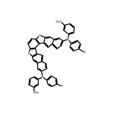 COc1cccc(N(c2ccc(C(C)C)cc2)c2ccc3cc4c(cc3c2)oc2ccc3oc5cc6cc(N(c7ccc(C(C)C)cc7)c7cccc(OC)c7)ccc6cc5c3c24)c1